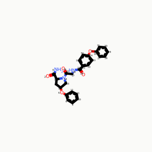 NC(=O)C1CC(Oc2ccccc2)CN1C(=O)CNC(=O)c1ccc(Oc2ccccc2)cc1